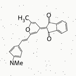 CNc1ccc(C=CC2=CC(=C3C(=O)c4ccccc4C3=O)C=C(C)O2)cc1